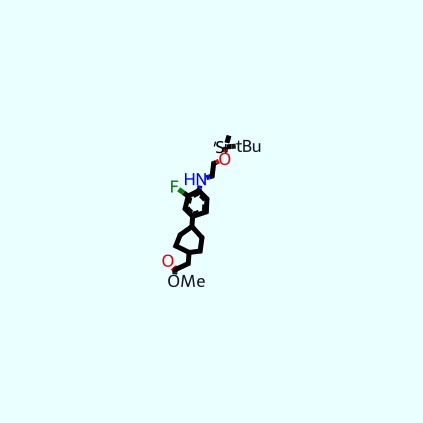 COC(=O)CC1CCC(c2ccc(NCCO[Si](C)(C)C(C)(C)C)c(F)c2)CC1